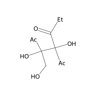 CCC(=O)C(O)(C(C)=O)C(O)(CO)C(C)=O